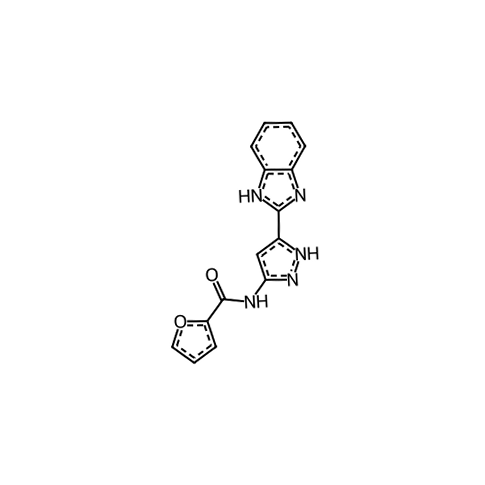 O=C(Nc1cc(-c2nc3ccccc3[nH]2)[nH]n1)c1ccco1